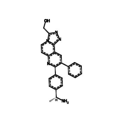 C[C@@H](N)c1ccc(-c2nc3ccn4c(CO)nnc4c3cc2-c2ccccc2)cc1